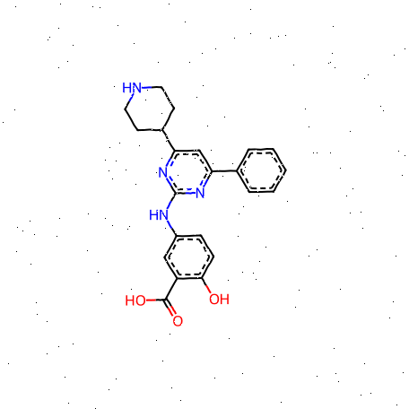 O=C(O)c1cc(Nc2nc(-c3ccccc3)cc(C3CCNCC3)n2)ccc1O